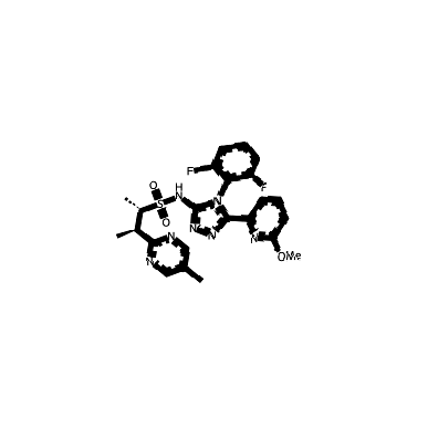 COc1cccc(-c2nnc(NS(=O)(=O)[C@@H](C)[C@H](C)c3ncc(C)cn3)n2-c2c(F)cccc2F)n1